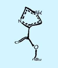 CCCCOC(=O)c1c[nH][c]n1